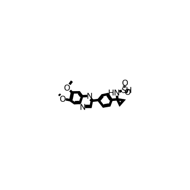 COc1cc2ncc(-c3ccc(C4(N[SH](=O)=O)CC4)cc3)nc2cc1OC